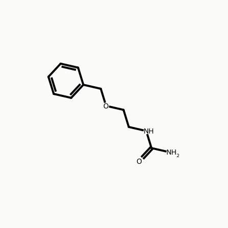 NC(=O)NCCOCc1ccccc1